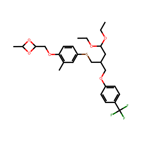 CCOC(CC(COc1ccc(C(F)(F)F)cc1)CSc1ccc(OCC2OC(C)O2)c(C)c1)OCC